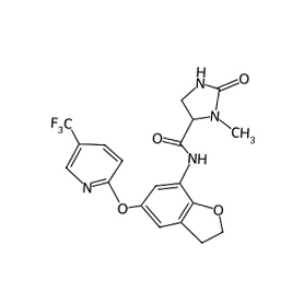 CN1C(=O)NCC1C(=O)Nc1cc(Oc2ccc(C(F)(F)F)cn2)cc2c1OCC2